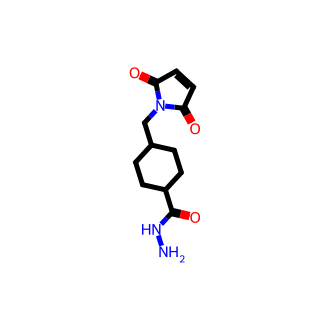 NNC(=O)C1CCC(CN2C(=O)C=CC2=O)CC1